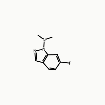 CN(C)n1ncc2ccc(F)cc21